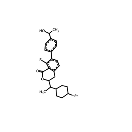 CCCC1CCC(C(C)C2Cc3ccc(-c4ccc(C(C)O)cc4)c(F)c3C(=O)O2)CC1